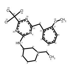 CCN1CCCC(Nc2nc(Cc3ccccc3OC)nc(C(Cl)(Cl)Cl)n2)C1